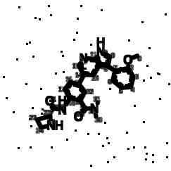 COc1ccccc1-c1c[nH]c2ncc(-c3ccc(NC(=O)[C@H]4CCN4)c(C(=O)N(C)C)c3)cc12